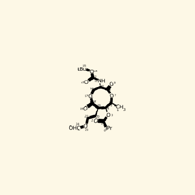 CC(C)C(=O)O[C@H]1[C@H](C)OC(=O)[C@@H](NC(=O)OC(C)(C)C)COC(=O)[C@@H]1CCOC=O